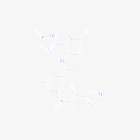 Cc1cc(C(C)Nc2ccc(Cl)nc2-c2noc(=O)[nH]2)c2oc(-c3cnn(C)n3)c(C)c(=O)c2c1